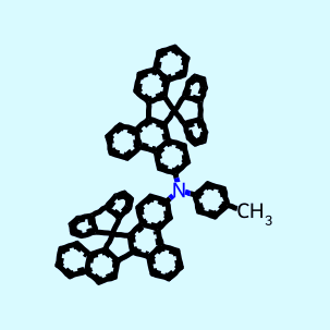 Cc1ccc(N(c2ccc3c4c(c5ccccc5c3c2)-c2ccc3ccccc3c2C42c3ccccc3-c3ccccc32)c2ccc3c4c(c5ccccc5c3c2)-c2ccc3ccccc3c2C42c3ccccc3-c3ccccc32)cc1